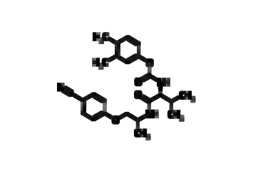 Cc1ccc(OC(=O)N[C@H](C(=O)NC(C)COc2ccc(C#N)cc2)C(C)C)cc1C